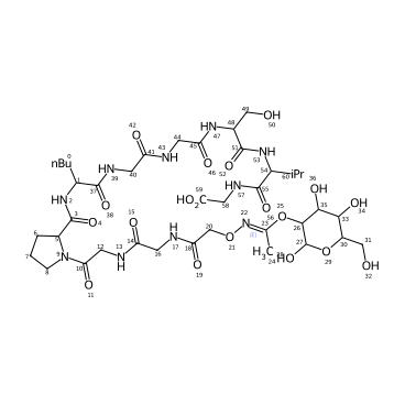 CCCCC(NC(=O)C1CCCN1C(=O)CNC(=O)CNC(=O)CO/N=C(\C)OC1C(O)OC(CO)C(O)C1O)C(=O)NCC(=O)NCC(=O)NC(CO)C(=O)NC(C(=O)NCC(=O)O)C(C)C